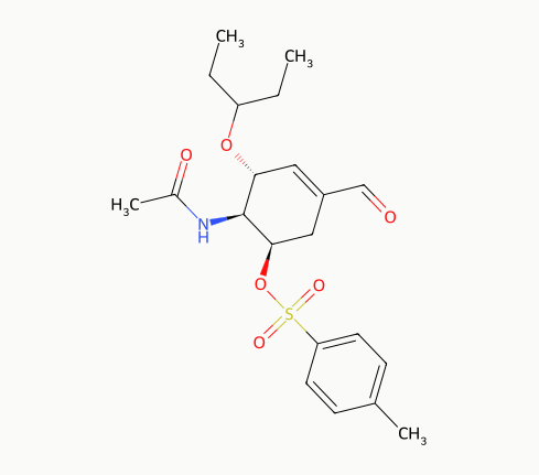 CCC(CC)O[C@@H]1C=C(C=O)C[C@@H](OS(=O)(=O)c2ccc(C)cc2)[C@H]1NC(C)=O